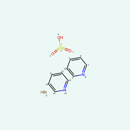 Br.O=[SH](=O)O.c1ccncc1.c1ccncc1